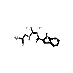 Cl.NC(=O)CNC(N)=NC(=O)c1cc2ccccc2[nH]1